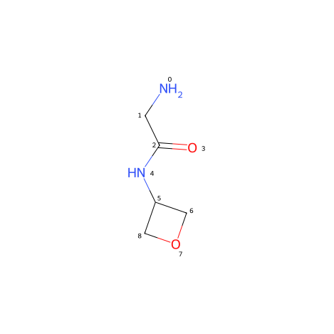 NCC(=O)NC1COC1